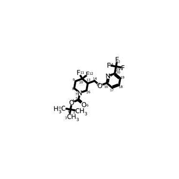 CC(C)(C)OC(=O)N1CCC(F)(F)C(COc2cccc(C(F)(F)F)n2)C1